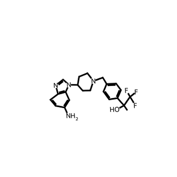 CC(O)(c1ccc(CN2CCC(n3cnc4ccc(N)cc43)CC2)cc1)C(F)(F)F